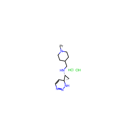 CC(C)N1CCC(CN[C@@H]2C[C@]23C=CN=NN3)CC1.Cl.Cl